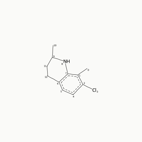 Cc1c(Cl)ccc2c1NC(C)CC2